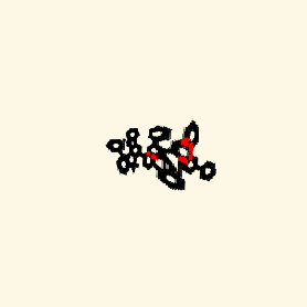 CC1(C)c2cccc3c2-c2c1c(-c1ccc(-c4ccccc4N(c4cc(-c5ccccc5)cc(-c5ccccc5)c4)c4cccc(-c5ccccc5)c4-c4ccccc4)cc1)cc1c4ccccc4n(c21)-c1ccccc1-3